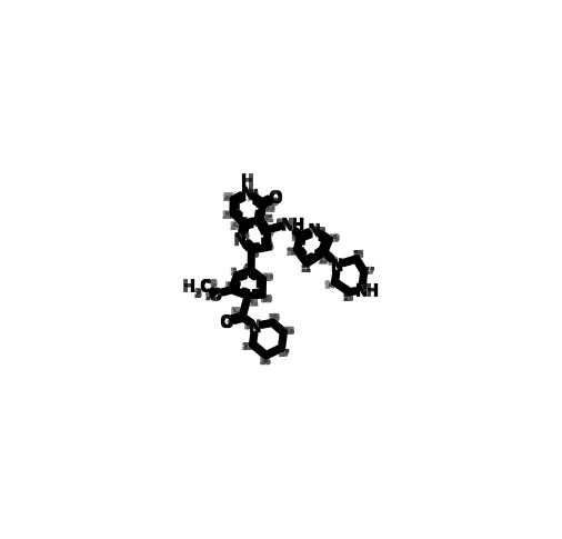 COc1cc(-c2cc(Nc3ccc(N4CCNCC4)cn3)c3c(=O)[nH]ccc3n2)ccc1C(=O)N1CCCCC1